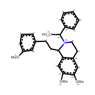 COc1cccc(CCC2c3cc(OC)c(OC)cc3CCN2C(C(=O)O)c2ccccc2)c1